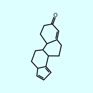 O=C1C=C2CCC3C4=CC=CC4CCC3C2CC1